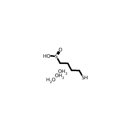 O.O.O.O=S(O)CCCCS